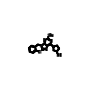 CC(C)(C)c1nc(N2CCC(S)C2)c2nnn(Cc3ccccc3Cl)c2n1